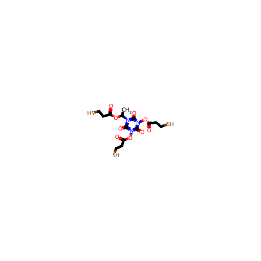 CC(OC(=O)CCS)n1c(=O)n(OC(=O)CCS)c(=O)n(OC(=O)CCS)c1=O